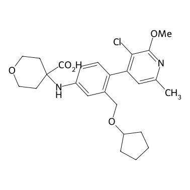 COc1nc(C)cc(-c2ccc(NC3(C(=O)O)CCOCC3)cc2COC2CCCC2)c1Cl